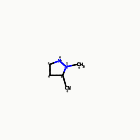 CN1[N]CCC1C#N